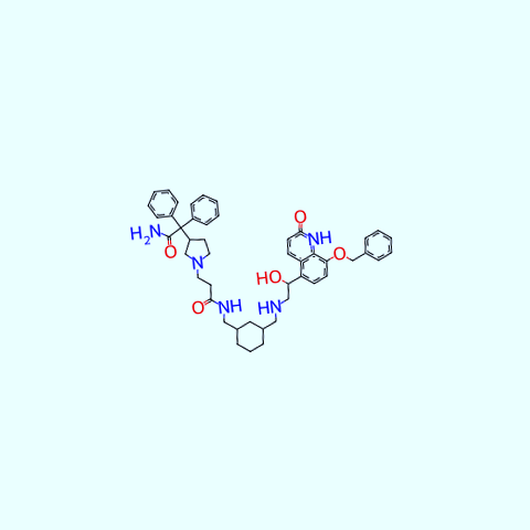 NC(=O)C(c1ccccc1)(c1ccccc1)C1CCN(CCC(=O)NCC2CCCC(CNCC(O)c3ccc(OCc4ccccc4)c4[nH]c(=O)ccc34)C2)C1